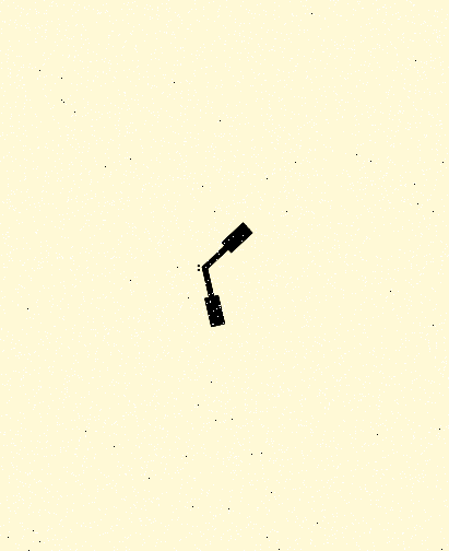 C#C[C]C#C